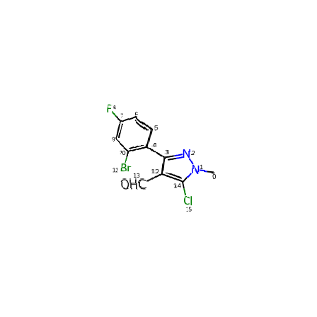 Cn1nc(-c2ccc(F)cc2Br)c(C=O)c1Cl